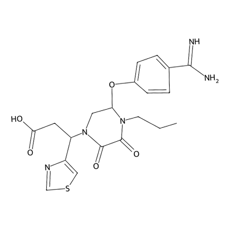 CCCN1C(=O)C(=O)N(C(CC(=O)O)c2cscn2)CC1Oc1ccc(C(=N)N)cc1